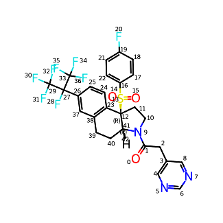 O=C(Cc1cncnc1)N1CC[C@@]2(S(=O)(=O)c3ccc(F)cc3)c3ccc(C(F)(C(F)(F)F)C(F)(F)F)cc3CC[C@@H]12